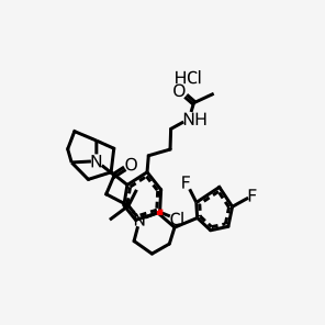 CC(=O)NCCCc1cc(Cl)ccc1C1CC2CCC(C1)N2C(=O)CC(C)(C)N1CCCC(c2ccc(F)cc2F)C1.Cl